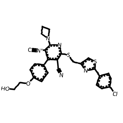 [C-]#[N+]c1c(N2CCC2)nc(SCc2csc(-c3ccc(Cl)cc3)n2)c(C#N)c1-c1ccc(OCCO)cc1